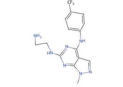 Cn1ncc2c(Nc3ccc(C(F)(F)F)cc3)nc(NCCN)nc21